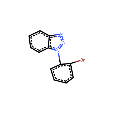 Brc1ccccc1-n1nnc2ccccc21